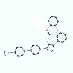 C[C@@H](OC(=O)Nc1c(-c2ccccc2)noc1-c1ccc(-c2ccc(C3CC3)cc2)cc1)c1ccccc1Cl